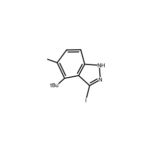 Cc1ccc2[nH]nc(I)c2c1C(C)(C)C